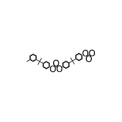 COC(=O)Oc1ccc(C(C)(C)c2ccc(OC(=O)Oc3ccc(C(C)(C)c4cccc(C)c4)cc3)cc2)cc1